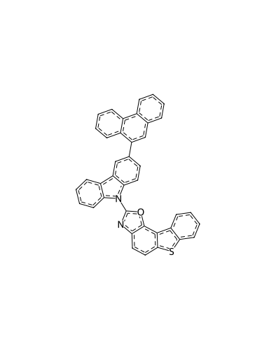 c1ccc2c(c1)cc(-c1ccc3c(c1)c1ccccc1n3-c1nc3ccc4sc5ccccc5c4c3o1)c1ccccc12